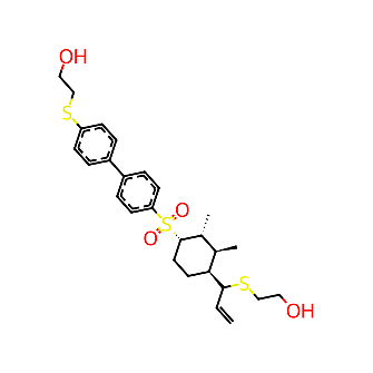 C=CC(SCCO)[C@H]1CC[C@H](S(=O)(=O)c2ccc(-c3ccc(SCCO)cc3)cc2)[C@H](C)[C@H]1C